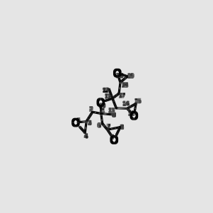 CC(CC1CO1)(CC1CO1)OC(C)(CC1CO1)CC1CO1